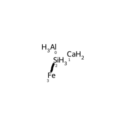 [AlH3].[CaH2].[SiH3][Fe]